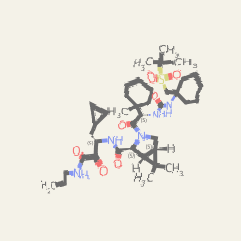 C=CCNC(=O)C(=O)[C@H](CC1CC1)NC(=O)[C@@H]1[C@@H]2[C@H](CN1C(=O)[C@@H](NC(=O)NC1(CS(=O)(=O)C(C)(C)C)CCCCC1)C1(C)CCCCC1)C2(C)C